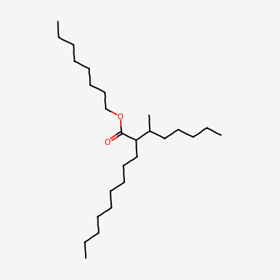 CCCCCCCCCC(C(=O)OCCCCCCCC)C(C)CCCCC